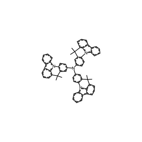 CC1(C)c2cc(N(c3ccc4c(c3)C(C)(C)c3cccc5c6ccccc6n-4c35)c3ccc4c(c3)C(C)(C)c3cccc5c6ccccc6n-4c35)ccc2-n2c3ccccc3c3cccc1c32